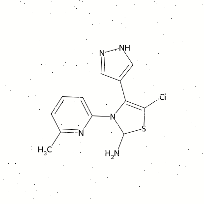 Cc1cccc(N2C(c3cn[nH]c3)=C(Cl)SC2N)n1